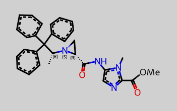 COC(=O)c1ncc(NC(=O)[C@H]2C[N@]2[C@H](C)C(c2ccccc2)(c2ccccc2)c2ccccc2)n1C